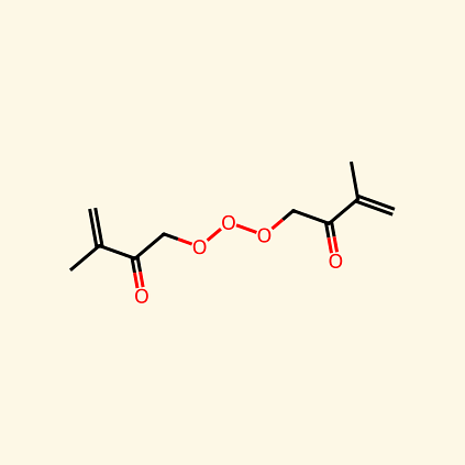 C=C(C)C(=O)COOOCC(=O)C(=C)C